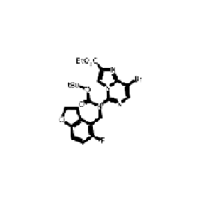 CCOC(=O)c1cn2c(N(Cc3c(F)ccc4c3CCO4)C(=O)OC(C)(C)C)ncc(Br)c2n1